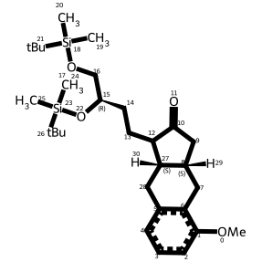 COc1cccc2c1C[C@H]1CC(=O)C(CC[C@H](CO[Si](C)(C)C(C)(C)C)O[Si](C)(C)C(C)(C)C)[C@H]1C2